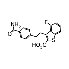 NC(=O)c1ccc(CCc2c(C(=O)O)sc3cccc(F)c23)cc1